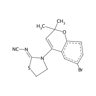 CC1(C)C=C(N2CCSC2=NC#N)c2cc(Br)ccc2O1